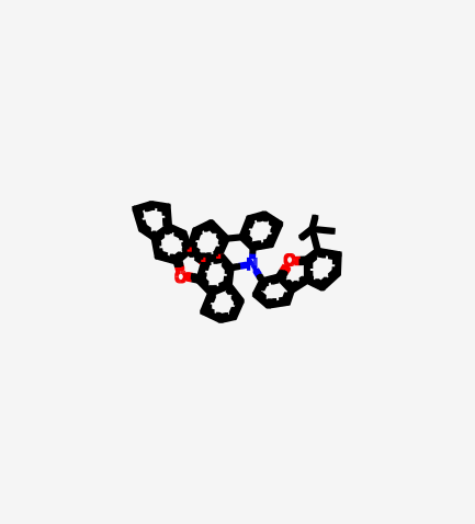 CC(C)(C)c1cccc2c1oc1c(N(c3ccccc3-c3ccccc3)c3cc4c5cc6ccccc6cc5oc4c4ccccc34)cccc12